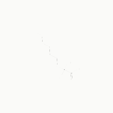 CSSCCCOC(C)(C)C(C)=O